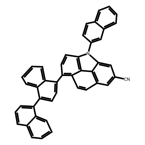 N#Cc1cc2ccc3c(-c4ccc(-c5cccc6ccccc56)c5ccccc45)ccc4c3c2c(c1)n4-c1ccc2ccccc2c1